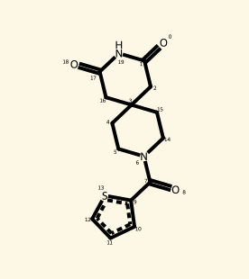 O=C1CC2(CCN(C(=O)c3cccs3)CC2)CC(=O)N1